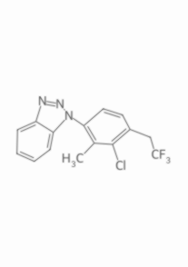 Cc1c(-n2nnc3ccccc32)ccc(CC(F)(F)F)c1Cl